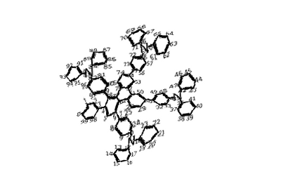 c1ccc(-c2cc(-c3ccc(N(c4ccccc4)c4ccccc4)cc3)c3c4ccc(-c5ccc(N(c6ccccc6)c6ccccc6)cc5)cc4c4cc(-c5ccc(N(c6ccccc6)c6ccccc6)cc5)ccc4c3c2-c2ccc(N(c3ccccc3)c3ccccc3)cc2)cc1